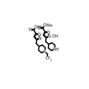 COC(=O)c1cc(CC2CCN(CC(F)(F)F)CC2)no1.COC(=O)c1cc(CC2CCNCC2)no1.Cl